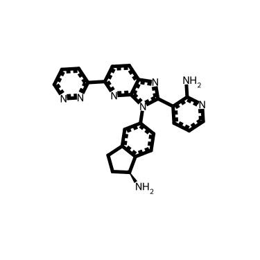 Nc1ncccc1-c1nc2ccc(-c3cccnn3)nc2n1-c1ccc2c(c1)CC[C@@H]2N